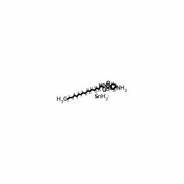 CCCCCCCCCCCCCCCCCC(=O)NS(=O)(=O)c1ccc(N)cc1.[SnH2]